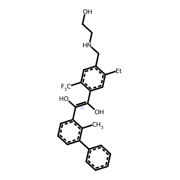 CCc1cc(/C(O)=C(\O)c2cccc(-c3ccccc3)c2C)c(C(F)(F)F)cc1CNCCO